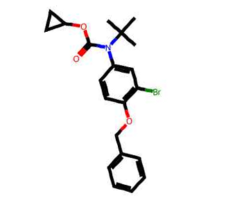 CC(C)(C)N(C(=O)OC1CC1)c1ccc(OCc2ccccc2)c(Br)c1